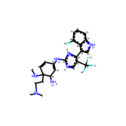 CNC1(CCN(C)C)C=CC(Nc2ncc(C(F)(F)F)c(-c3c[nH]c4cccc(F)c34)n2)=CC1N